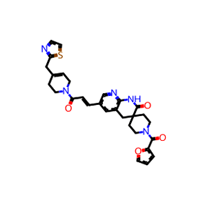 O=C(C=Cc1cnc2c(c1)CC1(CCN(C(=O)c3ccco3)CC1)C(=O)N2)N1CC=C(Cc2nccs2)CC1